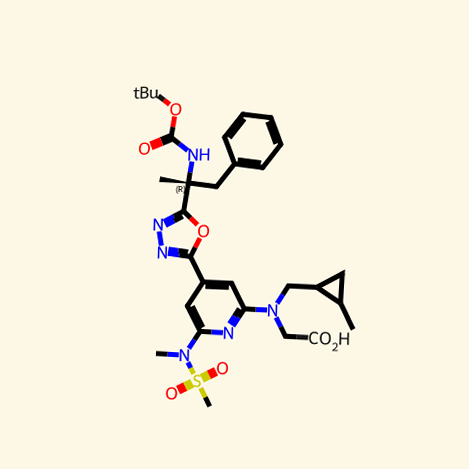 CC1CC1CN(CC(=O)O)c1cc(-c2nnc([C@@](C)(Cc3ccccc3)NC(=O)OC(C)(C)C)o2)cc(N(C)S(C)(=O)=O)n1